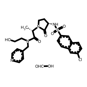 C[C@@H](C(=O)N(CCO)Cc1ccncc1)N1CC[C@H](NS(=O)(=O)c2ccc3cc(Cl)ccc3c2)C1=O.O=CO